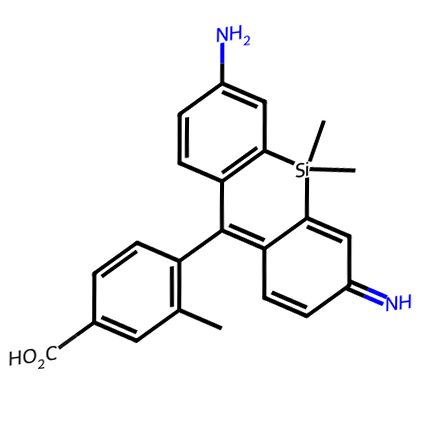 Cc1cc(C(=O)O)ccc1C1=C2C=CC(=N)C=C2[Si](C)(C)c2cc(N)ccc21